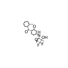 CC(O)(C(=O)Nc1ccc2c(c1)OCc1ccccc1C2=O)C(F)(F)F